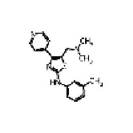 Cc1cccc(Nc2nc(-c3ccncc3)c(CN(C)C)s2)c1